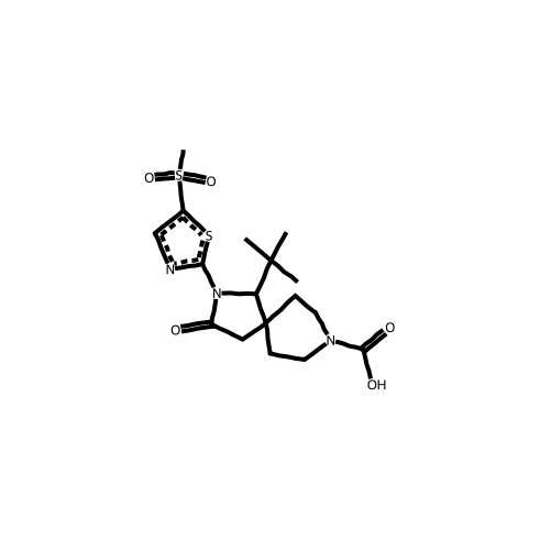 CC(C)(C)C1N(c2ncc(S(C)(=O)=O)s2)C(=O)CC12CCN(C(=O)O)CC2